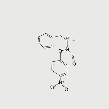 [CH2][C@@H](Cc1ccccc1)N(C=O)Oc1ccc([N+](=O)[O-])cc1